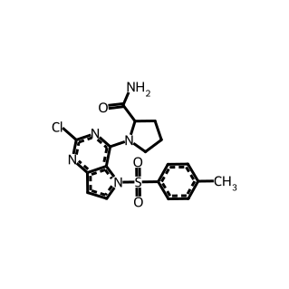 Cc1ccc(S(=O)(=O)n2ccc3nc(Cl)nc(N4CCCC4C(N)=O)c32)cc1